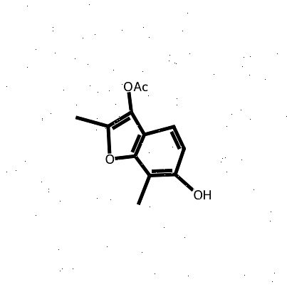 CC(=O)Oc1c(C)oc2c(C)c(O)ccc12